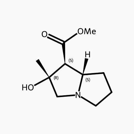 COC(=O)[C@H]1[C@@H]2CCCN2C[C@]1(C)O